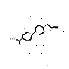 C=CCC[C@H]1CC[C@H]([C@H]2CC[C@H](C(C)C=O)CC2)CC1